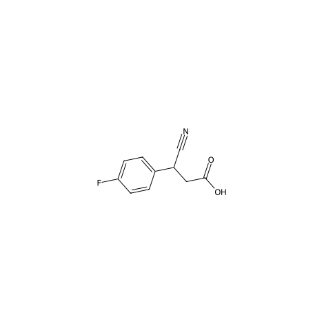 N#CC(CC(=O)O)c1ccc(F)cc1